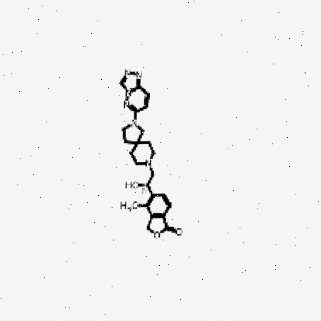 Cc1c([C@@H](O)CN2CCC3(CC2)CCN(c2ccc4nncn4n2)C3)ccc2c1COC2=O